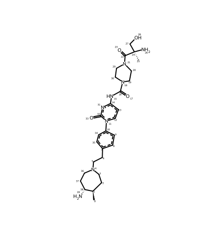 C[C@@H]1CCN(CCc2ccc(-n3ccc(NC(=O)N4CCN(C(=O)[C@](C)(N)CO)CC4)nc3=O)cc2)CC[C@H]1N